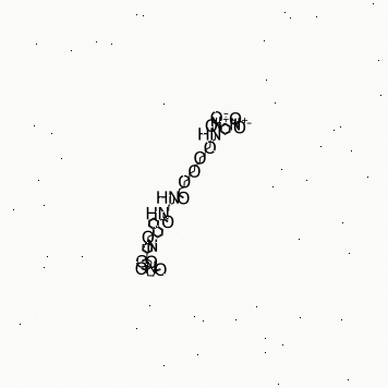 O=C(CCOCCOCCOCCOCCNc1ccc([N+](=O)[O-])cc1[N+](=O)[O-])NCCCNC(=O)c1cccc2c(Oc3ccc(C(=O)ON4C(=O)CCC4=O)cn3)cccc12